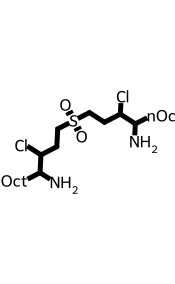 CCCCCCCCC(N)C(Cl)CCS(=O)(=O)CCC(Cl)C(N)CCCCCCCC